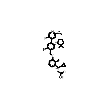 COc1cc(-c2cc(F)c(COc3cccc([C@H](CC(=O)O)C4CC4)c3F)cc2[C@@H]2CCCC2(C)C)c(F)cn1